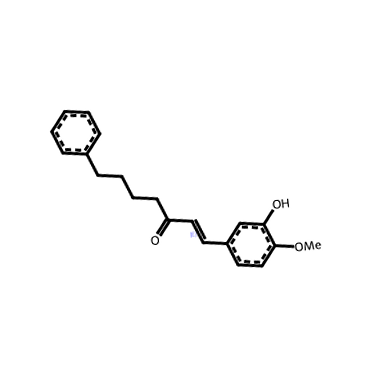 COc1ccc(/C=C/C(=O)CCCCc2ccccc2)cc1O